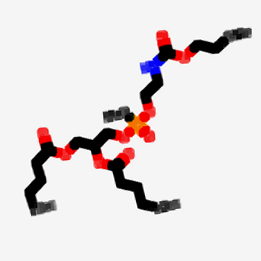 CCCCCCCCCCCCCC(=O)OCC(COP(=O)(OC)OCCNC(=O)OCCOC)OC(=O)CCCCCCCCCCCCC